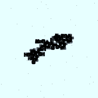 COc1cc(NC(=O)COc2cccc([C@H](c3ccccc3)N(C(=O)O)[C@H]3CN4CCC3CC4)c2)ccc1CNC[C@H](O)c1ccc(O)c2[nH]c(=O)ccc12